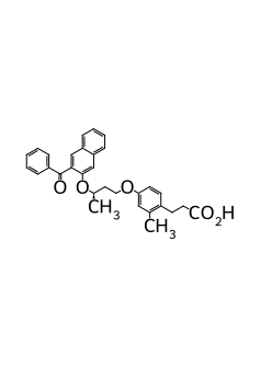 Cc1cc(OCC[C@@H](C)Oc2cc3ccccc3cc2C(=O)c2ccccc2)ccc1CCC(=O)O